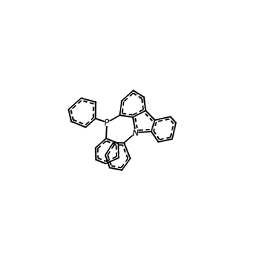 c1ccc(-n2c3ccccc3c3cccc(P(c4ccccc4)c4ccccc4)c32)cc1